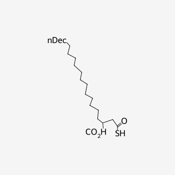 CCCCCCCCCCCCCCCCCCCCCCC(CC(=O)S)C(=O)O